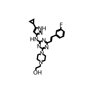 OCCN1CCN(c2nc(/C=C/c3cccc(F)c3)nc(Nc3cc(C4CC4)[nH]n3)n2)CC1